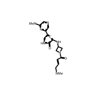 CNCC=CC(=O)N1CC(Nc2cc(-c3cncc(NC)n3)c[nH]c2=O)C1